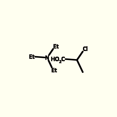 CC(Cl)C(=O)O.CCN(CC)CC